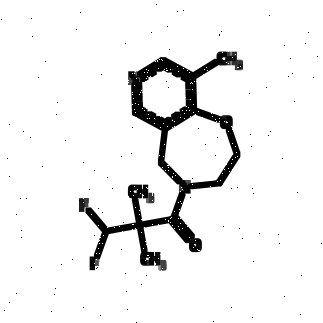 Cc1cncc2c1OCCN(C(=O)C(C)(C)C(F)F)C2